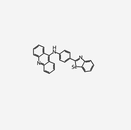 c1ccc2[se]c(-c3ccc(Nc4c5ccccc5nc5ccccc45)cc3)nc2c1